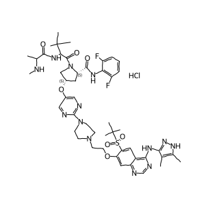 CNC(C)C(=O)NC(C(=O)N1C[C@@H](Oc2cnc(N3CCN(CCOc4cc5ncnc(Nc6n[nH]c(C)c6C)c5cc4S(=O)(=O)C(C)(C)C)CC3)nc2)C[C@H]1C(=O)Nc1c(F)cccc1F)C(C)(C)C.Cl